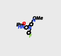 CO/N=C/c1ccc2c(c1)c1c(n2Cc2cccc(F)c2)CCC(NC(=O)C(C)C)C1